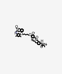 CNC(C)C(=O)Nc1ccc2c(c1)CN1C(=O)c3cc(OC)c(OCCCCCOc4cc(/N=C\C5Cc6ccccc6CN5C=O)c(C)cc4C)cc3N=CC1C2